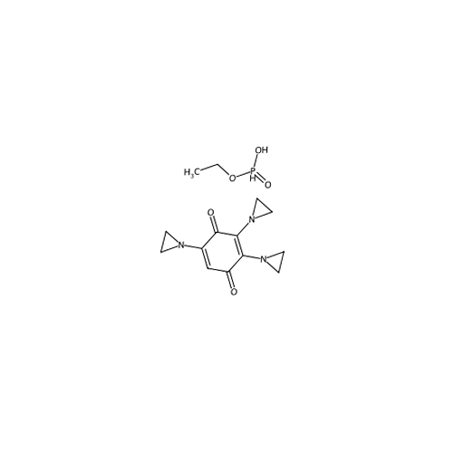 CCO[PH](=O)O.O=C1C=C(N2CC2)C(=O)C(N2CC2)=C1N1CC1